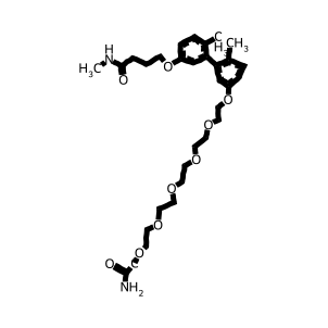 CNC(=O)CCCOc1ccc(C)c(-c2cc(OCCOCCOCCOCCOCCOCC(N)=O)ccc2C)c1